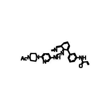 C=CC(=O)Nc1cccc(C2=CC=CC(=C/N=C)/C2=N\CNc2ccc(N3CCN(C(C)=O)CC3)nc2)c1